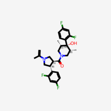 C=C(C)N1C[C@@H](C(=O)N2C[C@@H](C)[C@](O)(c3ccc(F)cc3F)[C@@H](C)C2)[C@H](c2ccc(F)cc2F)C1